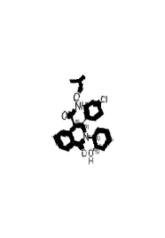 CC(C)CONC(=O)[C@@H]1c2ccccc2C(=O)N([C@H]2CCCC[C@@H]2O)[C@H]1c1ccc(Cl)cc1